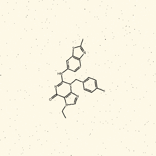 CCn1cnc2c1c(=O)nc(Nc1ccc3nc(C)sc3c1)n2Cc1ccc(F)cc1